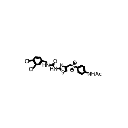 CC(=O)Nc1ccc(S(=O)(=O)Cc2csc(NC(=O)NCc3ccc(Cl)c(Cl)c3)n2)cc1